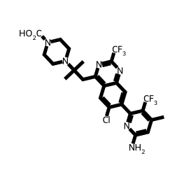 Cc1cc(N)nc(-c2cc3nc(C(F)(F)F)nc(CC(C)(C)N4CCN(C(=O)O)CC4)c3cc2Cl)c1C(F)(F)F